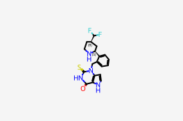 O=c1[nH]c(=S)n(Cc2ccccc2[C@@H]2C[C@H](C(F)F)CCN2)c2cc[nH]c12